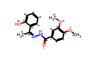 COc1ccc(C(=O)NN=C(C)c2ccccc2O)cc1OC